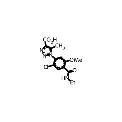 CCNC(=O)c1cc(Cl)c(-n2nnc(C(=O)O)c2C)cc1OC